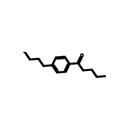 [CH2]CCCc1ccc(C(=O)CCCC)cc1